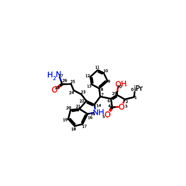 CC(C)CC1OC(=O)C(C(c2ccccc2)c2[nH]c3ccccc3c2CCCC(N)=O)=C1O